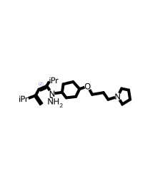 C=C(/C=C(/C(C)C)N(N)C1CCC(OCCCN2CCCC2)CC1)C(C)C